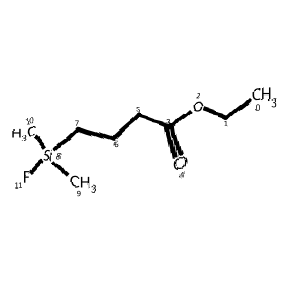 CCOC(=O)CCC[Si](C)(C)F